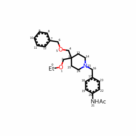 CCOCC1(COCc2ccccc2)CCN(Cc2ccc(NC(C)=O)cc2)CC1